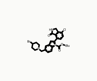 CC(C)(C)OC(=O)n1c(-c2ccc(Cl)c3c2C(=O)NC3)cc2cc(CN3CCC(Br)CC3)ccc21